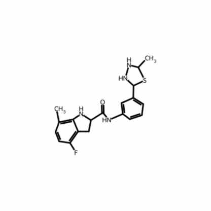 Cc1ccc(F)c2c1NC(C(=O)Nc1cccc(C3NNC(C)S3)c1)C2